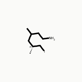 CC(CCN)C[C@@H](C)CI